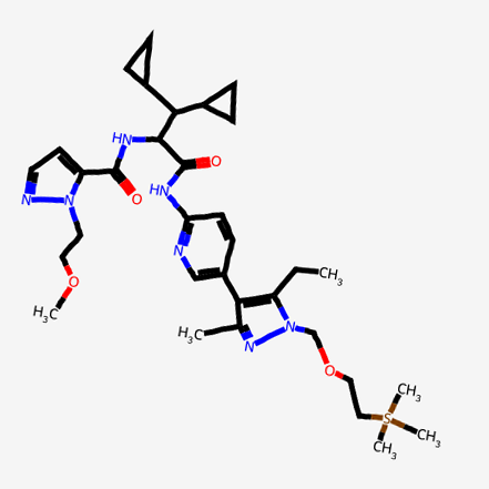 CCc1c(-c2ccc(NC(=O)C(NC(=O)c3ccnn3CCOC)C(C3CC3)C3CC3)nc2)c(C)nn1COCCS(C)(C)C